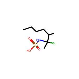 CCCCC(C)C(C)(Br)NS(=O)(=O)O